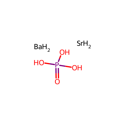 O=P(O)(O)O.[BaH2].[SrH2]